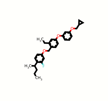 CCCC(C)c1ccc(OCc2ccc(Oc3cccc(OCC4CC4)c3)cc2CC)cc1F